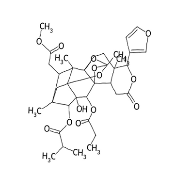 CCC(=O)OC1C2(O)C(OC(=O)C(C)C)C3(C)CC24OC2(C)OC15C1CC(=O)OC(c6ccoc6)C1(C)CCC5(O2)C4(C)C3CC(=O)OC